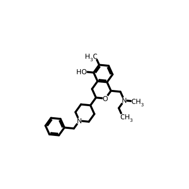 CCN(C)CC1OC(C2CCN(Cc3ccccc3)CC2)Cc2c1ccc(C)c2O